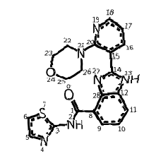 O=C(Nc1nccs1)c1cccc2[nH]c(-c3cccnc3N3CCOCC3)nc12